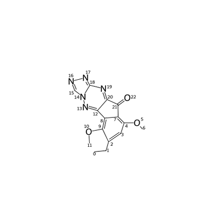 CCc1cc(OC)c2c(c1OC)-c1nn3cnnc3nc1C2=O